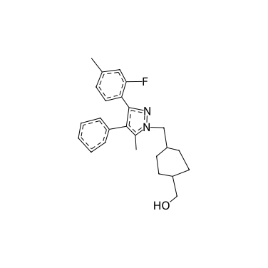 Cc1ccc(-c2nn(CC3CCC(CO)CC3)c(C)c2-c2ccccc2)c(F)c1